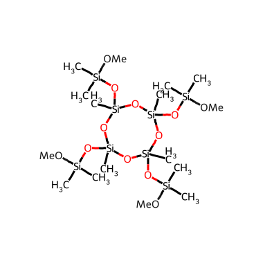 CO[Si](C)(C)O[Si]1(C)O[Si](C)(O[Si](C)(C)OC)O[Si](C)(O[Si](C)(C)OC)O[Si](C)(O[Si](C)(C)OC)O1